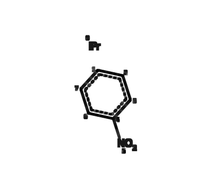 [CH2][C@H](C)c1ccc([N+](=O)[O-])cc1